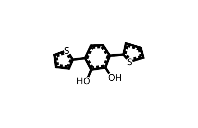 Oc1c(-c2cccs2)ccc(-c2cccs2)c1O